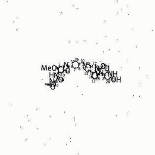 COc1cc2nc([C@H]3CC[C@H](CN4CCC(c5cccc6c5n(C)c(=O)n6C5CCC(O)NC5=O)CC4)CC3)oc2cc1NC(=O)c1coc(C)n1